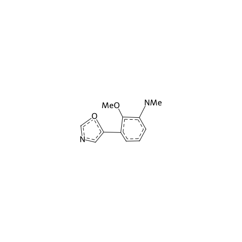 CNc1cccc(-c2cnco2)c1OC